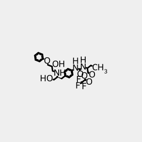 CCC(NC(=O)Nc1ccc(C[C@@H](CO)NC[C@H](O)COc2ccccc2)cc1)C(=O)OC(=O)C(F)(F)F